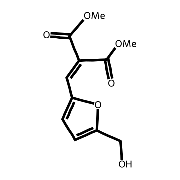 COC(=O)C(=Cc1ccc(CO)o1)C(=O)OC